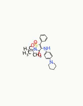 CC(C)(C)N1C(=O)C(Nc2ccc(N3CCCCC3)cc2)=C(c2ccccc2)S1(=O)=O